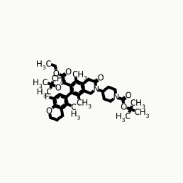 CCOC(=O)[C@@H](OC(C)(C)C)c1c(C)c2c(c(C)c1-c1cc(F)c3c(c1C)CCCO3)CN(C1CCN(C(=O)OC(C)(C)C)CC1)C(=O)C2